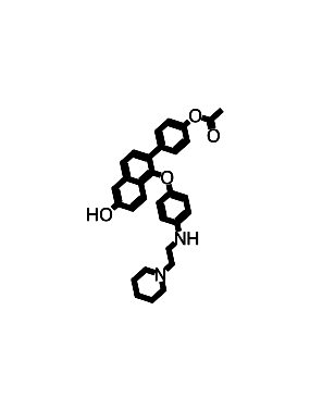 CC(=O)Oc1ccc(-c2ccc3cc(O)ccc3c2Oc2ccc(NCCN3CCCCC3)cc2)cc1